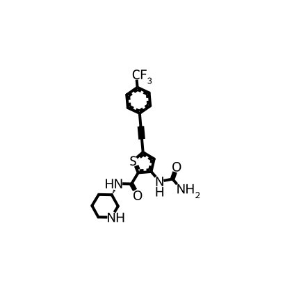 NC(=O)Nc1cc(C#Cc2ccc(C(F)(F)F)cc2)sc1C(=O)N[C@H]1CCCNC1